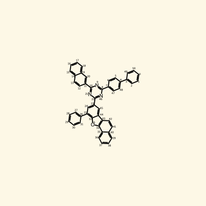 c1ccc(-c2ccc(-c3nc(-c4ccc5ccccc5c4)nc(-c4cc(-c5ccccc5)c5oc6c7ccccc7ccc6c5c4)n3)cc2)cc1